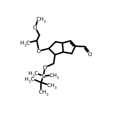 COCC(C)OC1CC2C=C(C=O)CC2C1CO[Si](C)(C)C(C)(C)C